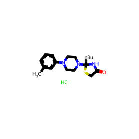 CCCCC1(N2CCN(c3cccc(C)c3)CC2)NC(=O)CS1.Cl